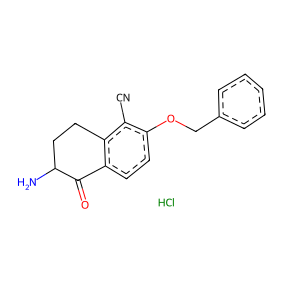 Cl.N#Cc1c(OCc2ccccc2)ccc2c1CCC(N)C2=O